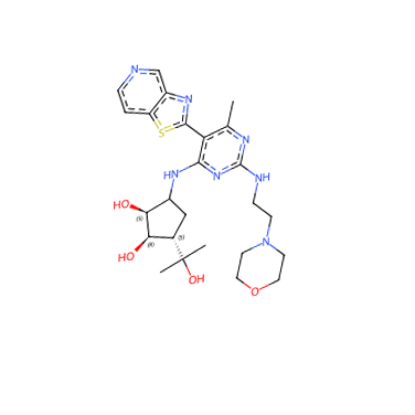 Cc1nc(NCCN2CCOCC2)nc(NC2C[C@H](C(C)(C)O)[C@@H](O)[C@H]2O)c1-c1nc2cnccc2s1